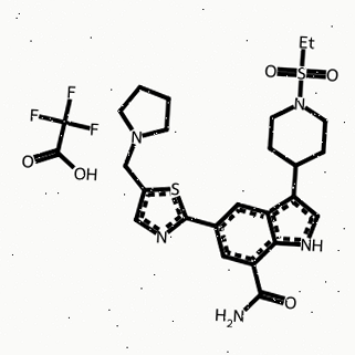 CCS(=O)(=O)N1CCC(c2c[nH]c3c(C(N)=O)cc(-c4ncc(CN5CCCC5)s4)cc23)CC1.O=C(O)C(F)(F)F